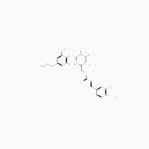 COc1cc(CCCO)cc(OC)c1O[C@@H]1OC(COC(=O)/C=C/c2ccc(O)c(O)c2)[C@@H](O)C(O)[C@@H]1O